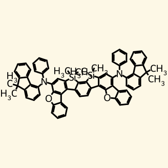 CC1(C)c2ccccc2-c2c(N(c3ccccc3)c3cc4c(c5c3oc3ccccc35)-c3ccc5c(c3[Si]4(C)C)[Si](C)(C)c3cc(N(c4ccccc4)c4cccc6c4-c4ccccc4C6(C)C)c4c(oc6ccccc64)c3-5)cccc21